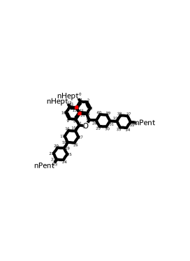 CCCCCCCc1ccc(C(OC(c2ccc(CCCCCCC)cc2)C2CCC(C3CCC(CCCCC)CC3)CC2)C2CCC(C3CCC(CCCCC)CC3)CC2)cc1